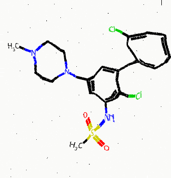 CN1CCN(c2cc(NS(C)(=O)=O)c(Cl)c(-c3ccccc3Cl)c2)CC1